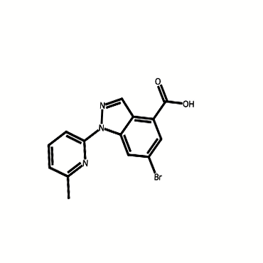 Cc1cccc(-n2ncc3c(C(=O)O)cc(Br)cc32)n1